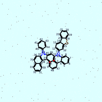 c1ccc(-c2ccccc2N(c2ccc3c(c2)sc2ccccc23)c2ccc3c4c5ccccc5ccc4n(-c4ccccc4)c3c2)cc1